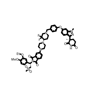 CCOc1cc([C@@H](CS(C)(=O)=O)N2C(=O)c3ccc(N4CCN([C@H]5CCN(Cc6ccc(Oc7ccc8c([C@@]9(C)CCC(=O)NC9=O)nn(C)c8c7)cc6)CC5(F)F)CC4)cc3C2=O)ccc1OC